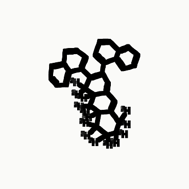 [2H]C1([2H])C2=CC3=CC(c4cccc5ccccc45)=C(c4cccc5ccccc45)C([2H])([2H])C3([2H])C([2H])([2H])C2([2H])C([2H])([2H])C([2H])([2H])C1([2H])[2H]